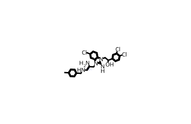 Cc1ccc(CN/C=C(\N)Cn2c(=N)n(CC(O)c3ccc(Cl)c(Cl)c3)c3ccc(Cl)cc32)cc1